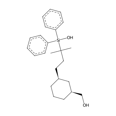 CC(C)(CC[C@@H]1CCC[C@H](CO)C1)[Si](O)(c1ccccc1)c1ccccc1